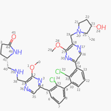 COc1nc(-c2cccc(-c3cccc(-c4cnc(CN5CC[C@H](O)[C@@H]5C)c(OC)n4)c3Cl)c2Cl)cnc1CNC[C@@H]1CCC(=O)N1